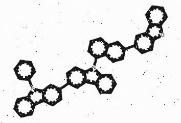 c1ccc(-n2c3ccccc3c3ccc(-c4ccc5c(c4)c4ccccc4n5-c4cccc5cc(-c6ccc7oc8ccccc8c7c6)ccc45)cc32)cc1